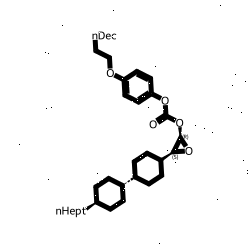 CCCCCCCCCCCCOc1ccc(OC(=O)O[C@H]2O[C@H]2C2CCC([C@H]3CC[C@H](CCCCCCC)CC3)CC2)cc1